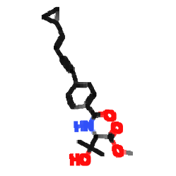 COC(=O)[C@@H](NC(=O)c1ccc(C#C/C=C/C2CC2)cc1)C(C)(C)O